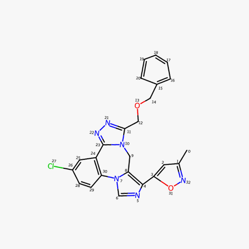 Cc1cc(-c2ncn3c2Cn2c(COCc4ccccc4)nnc2-c2cc(Cl)ccc2-3)on1